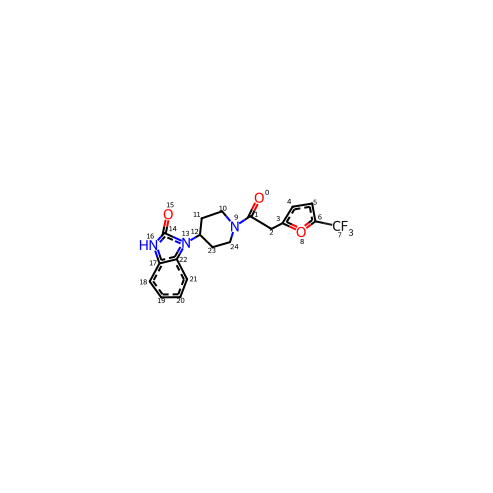 O=C(Cc1ccc(C(F)(F)F)o1)N1CCC(n2c(=O)[nH]c3ccccc32)CC1